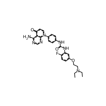 CCN(CC)CCOc1ccc(F)c(NC(=O)Nc2ccc(-n3ccc(=O)c4c(N)ncnc43)cc2)c1